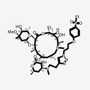 CC[C@H]1OC(=O)[C@H](C)[C@@H](O[C@H]2C[C@@](C)(OC)[C@@H](O)[C@H](C)O2)[C@H](C)[C@@H](O[C@@H]2O[C@H](C)C[C@H](N(C)CCc3cn(CCCOc4ccc(S(=O)(=O)CC)cc4)nn3)[C@H]2O)[C@](C)(O)C[C@@H](C)CN(C)[C@H](C)[C@@H](O)[C@]1(C)O